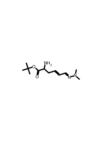 CN(C)N=CC=CCC(N)C(=O)OC(C)(C)C